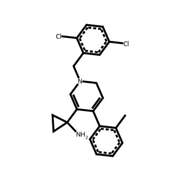 Cc1ccccc1C1=CCN(Cc2cc(Cl)ccc2Cl)C=C1C1(N)CC1